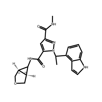 CNC(=O)c1cc(C(=O)NC2[C@H]3COC[C@@H]23)n(C(C)c2cccc3[nH]ccc23)n1